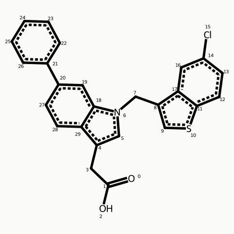 O=C(O)Cc1cn(Cc2csc3ccc(Cl)cc23)c2cc(-c3ccccc3)ccc12